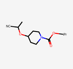 CC(C)OC(=O)N1CCC(OC(C)C#N)CC1